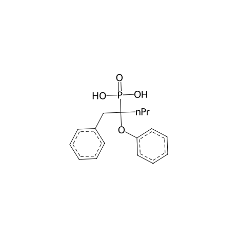 CCCC(Cc1ccccc1)(Oc1ccccc1)P(=O)(O)O